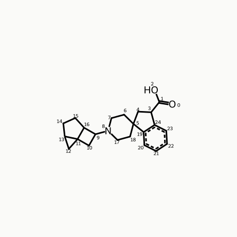 O=C(O)C1CC2(CCN(C3CC45CC4CCC35)CC2)c2ccccc21